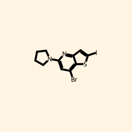 Brc1cc(N2CCCC2)nc2cc(I)sc12